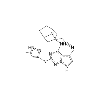 Cc1cc(Nc2nc(NC3CC4CCC(C3)N4CCC#N)c3c(C)c[nH]c3n2)n[nH]1